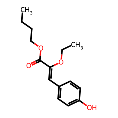 CCCCOC(=O)C(=Cc1ccc(O)cc1)OCC